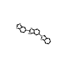 c1ccc2o[n+](-c3ccc4nc(-c5ccc6scnc6c5)[nH]c4c3)cc2c1